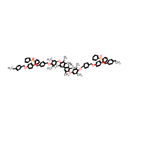 C=Cc1ccc(COc2ccc(OCc3ccc(COc4c(C)cc(Oc5c(C)cc(-c6cc(C)c(Oc7cc(C)c(OCc8ccc(COc9ccc(OCc%10ccc(C=C)cc%10)c(P(=O)(c%10ccccc%10)c%10ccccc%10)c9)cc8)c(C)c7)c(C)c6C)c(C)c5C)cc4C)cc3)c(P(=O)(c3ccccc3)c3ccccc3)c2)cc1